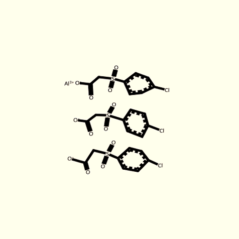 O=C([O-])CS(=O)(=O)c1ccc(Cl)cc1.O=C([O-])CS(=O)(=O)c1ccc(Cl)cc1.O=C([O-])CS(=O)(=O)c1ccc(Cl)cc1.[Al+3]